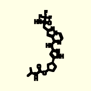 CC(C)NC(=O)O[C@@H]1CC[C@H](c2cc(Nc3nccn4nc(CS(=N)(=O)C(F)(F)F)cc34)n[nH]2)C1